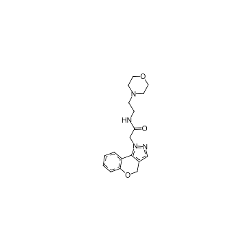 O=C(Cn1ncc2c1-c1ccccc1OC2)NCCN1CCOCC1